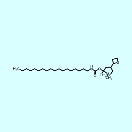 CCCCCCCCCCCCCCCCCCNC(=O)OC(C)(CC(CBr)C1CCS1)OC